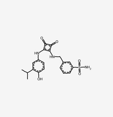 CC(C)c1cc(Nc2c(NCc3cccc(S(N)(=O)=O)c3)c(=O)c2=O)ccc1O